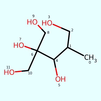 CC(CO)C(O)C(O)(CO)CO